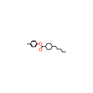 CCCCCC1CCC(C(=O)Oc2ccc(C)cc2)CC1